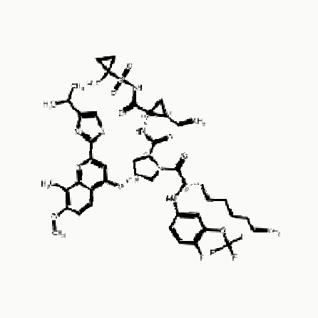 C=CCCCCC[C@H](Nc1ccc(F)c(OC(F)(F)F)c1)C(=O)N1C[C@H](Oc2cc(-c3nc(C(C)C)cs3)nc3c(C)c(OC)ccc23)C[C@H]1C(=O)N[C@]1(C(=O)NS(=O)(=O)C2(C)CC2)C[C@H]1C=C